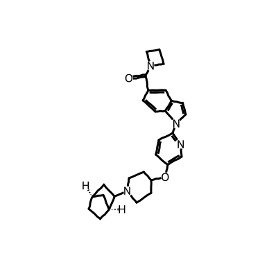 O=C(c1ccc2c(ccn2-c2ccc(OC3CCN(C4C[C@@H]5CC[C@H]4C5)CC3)cn2)c1)N1CCC1